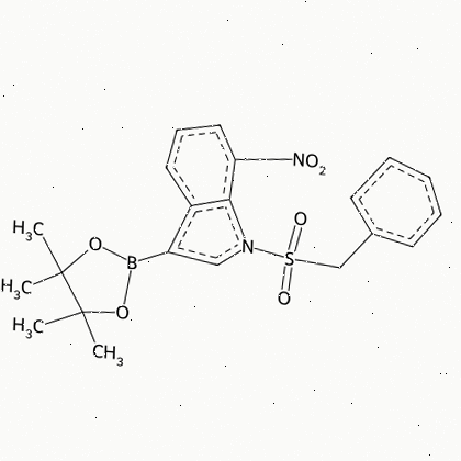 CC1(C)OB(c2cn(S(=O)(=O)Cc3ccccc3)c3c([N+](=O)[O-])cccc23)OC1(C)C